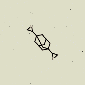 C1C2CC3(C4CO4)CC1CC(C1CO1)(C2)C3